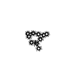 c1ccc(-c2cc(-c3ccc(-c4cc5ccccc5cc4-c4ccc(-c5ccc6c(c5)-c5cccc7cccc-6c57)cc4)cc3)nc(-c3ccccc3)n2)cc1